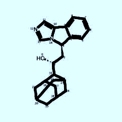 O[C@H](C[C@@H]1c2ccccc2-c2cncn21)C1C2CC3CC(C2)CC1C3